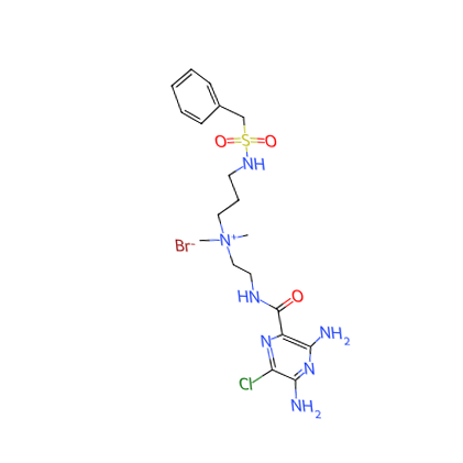 C[N+](C)(CCCNS(=O)(=O)Cc1ccccc1)CCNC(=O)c1nc(Cl)c(N)nc1N.[Br-]